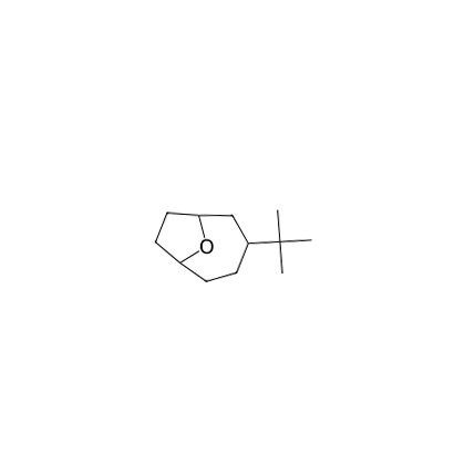 CC(C)(C)C1CCC2CCC(C1)O2